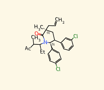 C=CC[C@@]1(C)CC(c2cccc(Cl)c2)[C@@H](c2ccc(Cl)cc2)N(C(CC)C(C)C(C)=O)C1=O